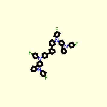 Fc1ccc(N(c2ccc(-c3cccc(-c4cccc(N(c5ccc(F)cc5)c5ccc6c(c5)c5ccccc5n6-c5ccc(F)cc5)c4)c3)cc2)c2ccc3c(c2)c2ccccc2n3-c2ccc(F)cc2)cc1